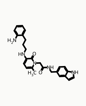 Cc1ccc(NCCCc2ccccc2N)c(=O)n1CC(=O)NCc1ccc2[nH]ccc2c1